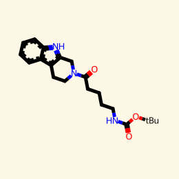 CC(C)(C)OC(=O)NCCCCC(=O)N1CCc2c([nH]c3ccccc23)C1